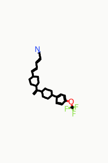 C=C(C1CCC(C=CC=CC#N)CC1)C1CCC(c2ccc(OC(F)(F)F)cc2)CC1